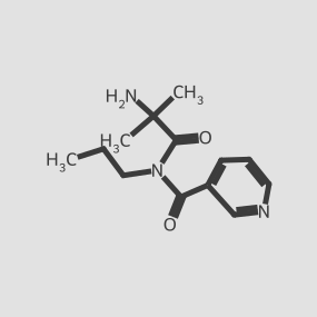 CCCN(C(=O)c1cccnc1)C(=O)C(C)(C)N